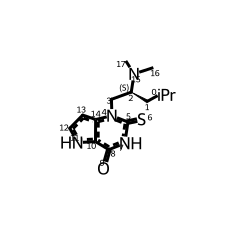 CC(C)C[C@@H](Cn1c(=S)[nH]c(=O)c2[nH]ccc21)N(C)C